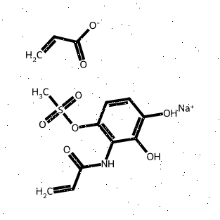 C=CC(=O)Nc1c(OS(C)(=O)=O)ccc(O)c1O.C=CC(=O)[O-].[Na+]